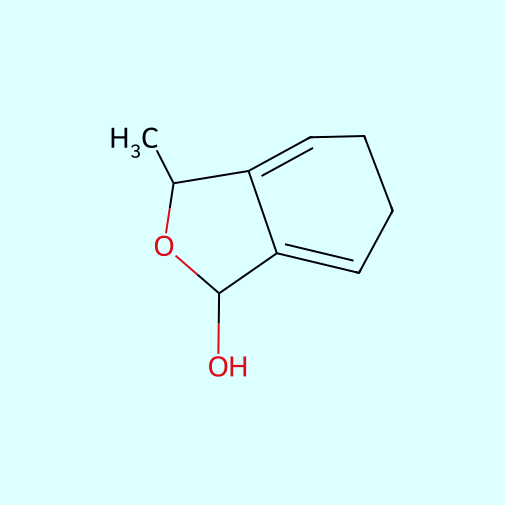 CC1OC(O)C2=CCCC=C21